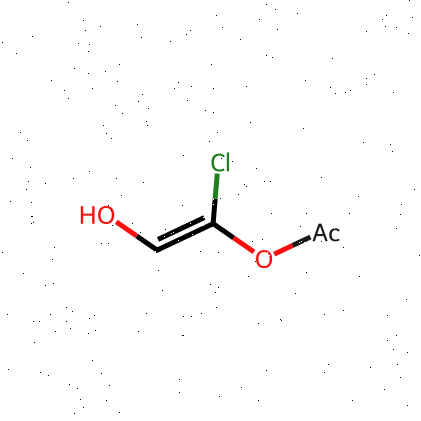 CC(=O)OC(Cl)=CO